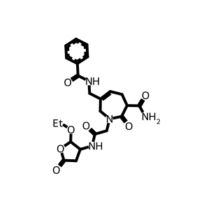 CCOC1OC(=O)CC1NC(=O)CN1CC(CNC(=O)c2ccccc2)=CCC(C(N)=O)C1=O